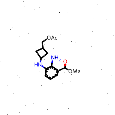 COC(=O)c1cccc(NC2CC(COC(C)=O)C2)c1N